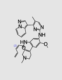 C=C/C=C\C(=O)Nc1cc(Nc2ncc(C)c(-c3cnn4ccccc34)n2)c(OC)cc1C1=CCN(C)CC1